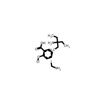 CCC(N)(CC)CC.NCI.O=C(O)c1ccccc1OCl